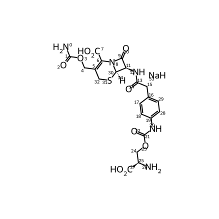 NC(=O)OCC1=C(C(=O)O)N2C(=O)[C@@H](NC(=O)Cc3ccc(NC(=O)OC[C@@H](N)C(=O)O)cc3)[C@H]2SC1.[NaH]